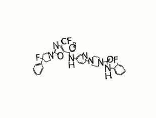 O=C(Nc1ccc(N2CCN(C(=O)Nc3ccccc3F)CC2)nc1)c1oc(N2CCC(F)(c3ccccc3)CC2)nc1C(F)(F)F